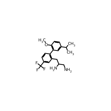 COc1ccc(C(C)C)cc1-c1ccc(C(F)(F)F)cc1CC(N)CN